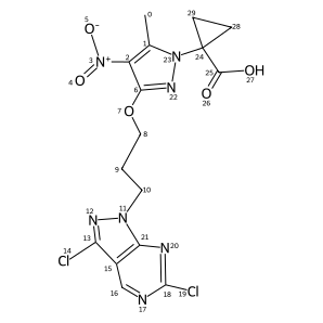 Cc1c([N+](=O)[O-])c(OCCCn2nc(Cl)c3cnc(Cl)nc32)nn1C1(C(=O)O)CC1